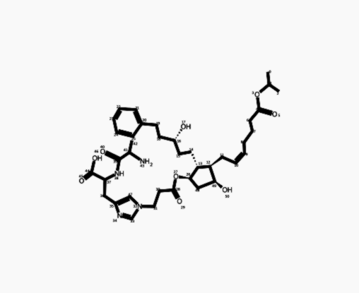 CC(C)OC(=O)CCC/C=C\C[C@@H]1[C@@H](CC[C@@H](O)CCc2ccccc2)[C@H](OC(=O)CCn2cnc(CC(NC(=O)C(C)N)C(=O)O)c2)C[C@@H]1O